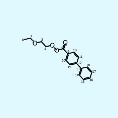 CCOC[CH]OOC(=O)c1ccc(-c2ccccc2)cc1